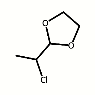 CC(Cl)C1OCCO1